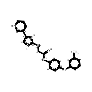 Cc1cccc(Oc2ccc(NC(=O)CNc3ncc(-c4cccnc4)s3)cc2)c1